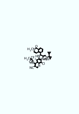 Cn1ccc2c([C@H](Nc3cc(Cl)c4ncc(C#N)c(NCC(C)(C)C(F)(F)F)c4c3)C3=CN(C4(C5CC5)CC4)NN3)cccc2c1=O